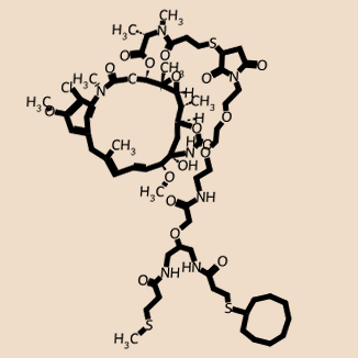 COc1cc2cc(c1Cl)N(C)C(=O)C[C@H](OC(=O)[C@H](C)N(C)C(=O)CCSC1CC(=O)N(CCOCCOCCNC(=O)COC(CNC(=O)CCSC)CNC(=O)CCSC3CCCCCCCC3)C1=O)[C@]1(C)O[C@H]1[C@H](C)[C@@H]1C[C@@](O)(NC(=O)O1)[C@H](OC)/C=C/C=C(\C)C2